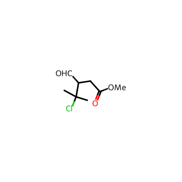 COC(=O)CC(C=O)C(C)(C)Cl